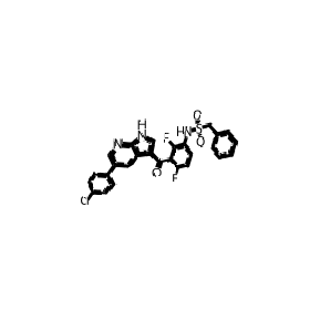 O=C(c1c(F)ccc(NS(=O)(=O)Cc2ccccc2)c1F)c1c[nH]c2ncc(-c3ccc(Cl)cc3)cc12